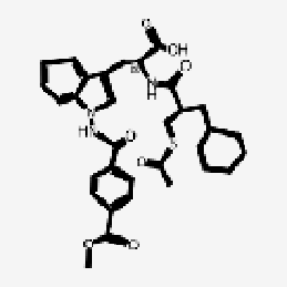 COC(=O)c1ccc(C(=O)Nn2cc(C[C@H](NC(=O)C(CSC(C)=O)CC3CCCCC3)C(=O)O)c3ccccc32)cc1